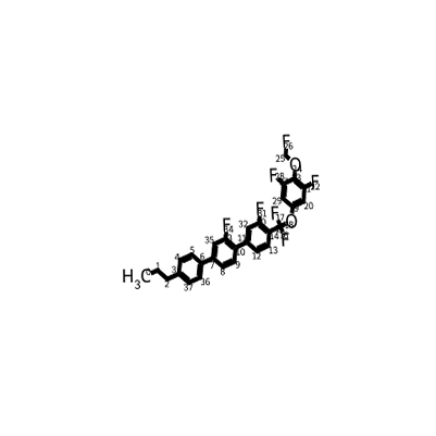 CCCc1ccc(-c2ccc(-c3ccc(C(F)(F)Oc4cc(F)c(OCF)c(F)c4)c(F)c3)c(F)c2)cc1